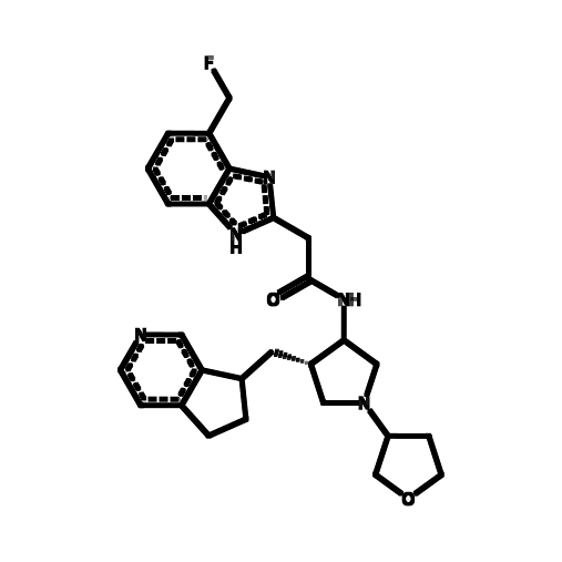 O=C(Cc1nc2c(CF)cccc2[nH]1)NC1CN(C2CCOC2)C[C@@H]1CC1CCc2ccncc21